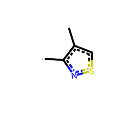 [CH2]c1nscc1C